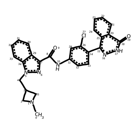 CN1CC(Cn2nc(C(=O)Nc3ccc(-c4n[nH]c(=O)c5ccccc45)c(Cl)c3)c3ccccc32)C1